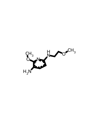 COCCNc1ccc(N)c(OC)n1